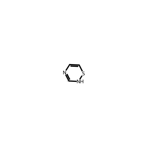 [C]1=NC=CSN1